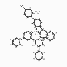 N#Cc1ccc(-c2ccc3c4ccccc4n(-c4ccc(-c5ccccn5)cc4-c4nc(-c5ccccc5)nc(-c5ccccc5)n4)c3c2)c(C#N)c1